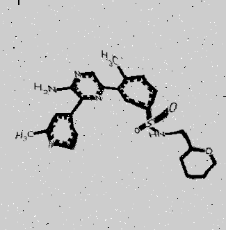 Cc1cc(-c2nc(-c3cc(S(=O)(=O)NCC4CCCCO4)ccc3C)cnc2N)ccn1